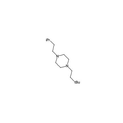 CC(C)CCN1CCN(CCC(C)(C)C)CC1